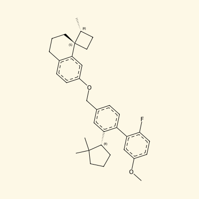 COc1ccc(F)c(-c2ccc(COc3ccc4c(c3)[C@@]3(CCC4)CC[C@H]3C)cc2[C@@H]2CCCC2(C)C)c1